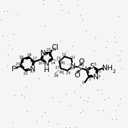 Cc1nc(N)sc1S(=O)(=O)N1CC[C@@H](c2[nH]c(-c3ccc(F)cn3)nc2Cl)[C@@H](C)C1